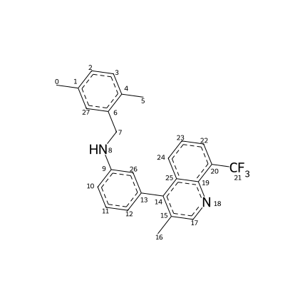 Cc1ccc(C)c(CNc2cccc(-c3c(C)cnc4c(C(F)(F)F)cccc34)c2)c1